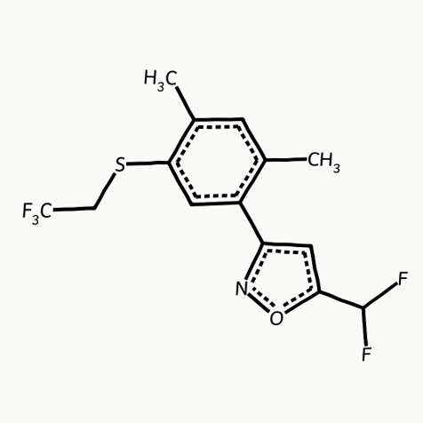 Cc1cc(C)c(-c2cc(C(F)F)on2)cc1SCC(F)(F)F